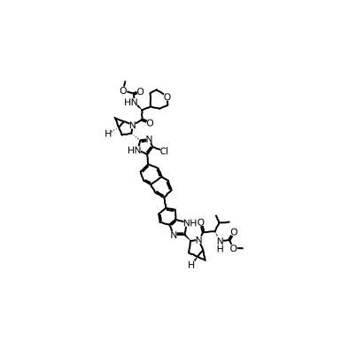 COC(=O)N[C@H](C(=O)N1C2C[C@@H]2C[C@H]1c1nc2ccc(-c3ccc4cc(-c5[nH]c([C@@H]6C[C@H]7CC7N6C(=O)[C@@H](NC(=O)OC)C6CCOCC6)nc5Cl)ccc4c3)cc2[nH]1)C(C)C